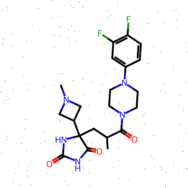 CC(CC1(C2CN(C)C2)NC(=O)NC1=O)C(=O)N1CCN(c2ccc(F)c(F)c2)CC1